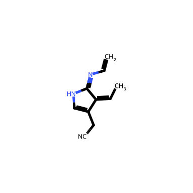 C=C/N=C1/NC=C(CC#N)/C1=C/C